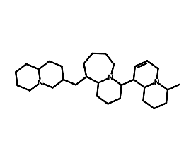 CC1CCCC2C(C3CCCC4C(CC5CCC6CCCCN6C5)CCCCN43)C=CCN12